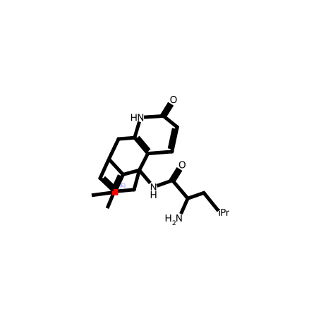 C/C=C1\C2C=C(C)CC1(NC(=O)C(N)CC(C)C)c1ccc(=O)[nH]c1C2